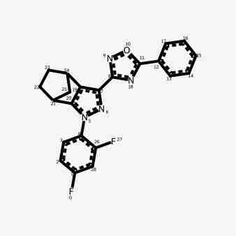 Fc1ccc(-n2nc(-c3noc(-c4ccccc4)n3)c3c2C2CCC3C2)c(F)c1